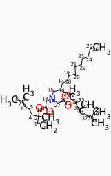 C=CC(C)(CCC=C(C)C)OC(=O)CN(CCCCCCCCCCCC)CC(=O)OC(C)(C=C)CCC=C(C)C